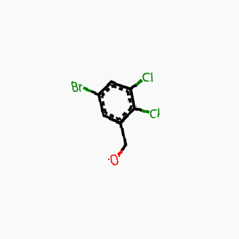 [O]Cc1cc(Br)cc(Cl)c1Cl